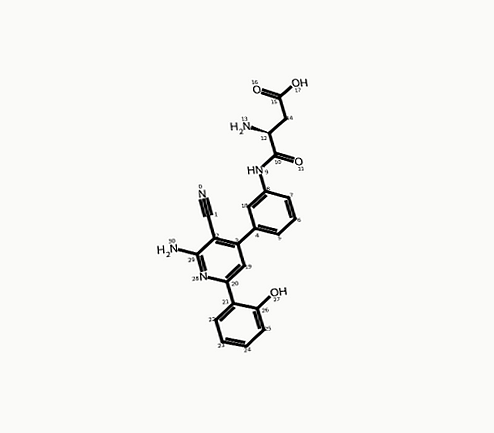 N#Cc1c(-c2cccc(NC(=O)[C@@H](N)CC(=O)O)c2)cc(-c2ccccc2O)nc1N